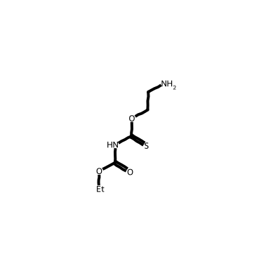 CCOC(=O)NC(=S)OCCN